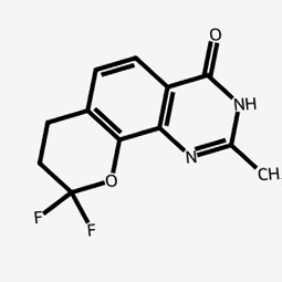 Cc1nc2c3c(ccc2c(=O)[nH]1)CCC(F)(F)O3